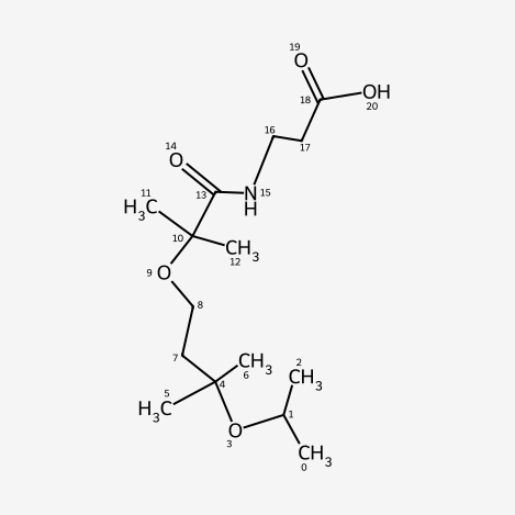 CC(C)OC(C)(C)CCOC(C)(C)C(=O)NCCC(=O)O